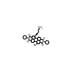 CCCCC#Cc1cc2c3c(ccc4c5c(Br)cc6c7c(ccc(c1c34)c75)C(=O)N(C1CCCCC1)C6=O)C(=O)N(C1CCCCC1)C2=O